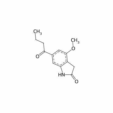 CCCC(=O)c1cc2c(c(OC)c1)CC(=O)N2